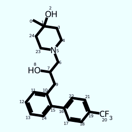 CC1(O)CCN(CC(O)Cc2ccccc2-c2ccc(C(F)(F)F)cc2)CC1